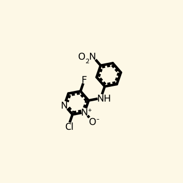 O=[N+]([O-])c1cccc(Nc2c(F)cnc(Cl)[n+]2[O-])c1